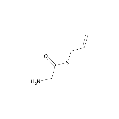 C=CCSC(=O)CN